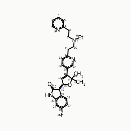 CCN(CCc1ccccn1)CCc1ccc(C2=C/C(=C3\C(=O)Nc4cc(F)ccc43)OC2(C)C)cn1